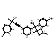 Cc1cnc(C(C)(O)C#Cc2cncc(C(O)(c3ccc(C(C)C)cc3)C3(C)CN(C)C3)c2)cn1